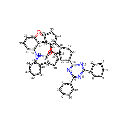 c1ccc(-c2nc(-c3ccccc3)nc(-c3ccc4c(c3)oc3c4ccc4oc5cccc(-n6c7ccccc7c7ccccc76)c5c43)n2)cc1